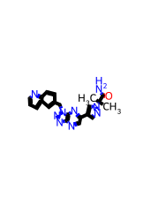 CC(C)(C(N)=O)n1cc(-c2cnc3nnn(Cc4ccc5ncccc5c4)c3n2)cn1